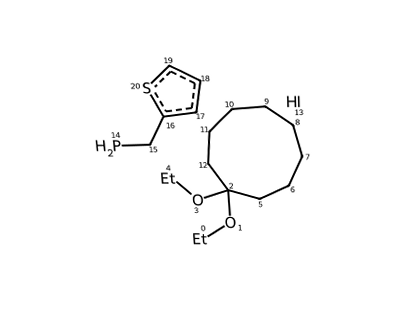 CCOC1(OCC)CCCCCCCC1.I.PCc1cccs1